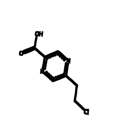 O=C(O)c1cnc(CCCl)cn1